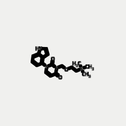 C[Si](C)(C)CCOCn1c(=O)ccn(-c2cccc3[nH]ccc23)c1=O